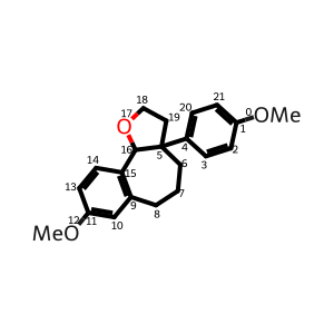 COc1ccc(C23CCCc4cc(OC)ccc4C2OCC3)cc1